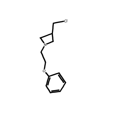 ClCC1CN(CCOc2ccccc2)C1